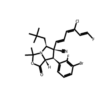 CC(C)(C)C[C@@H]1N2[C@@H](C(=O)OC2(C)C)[C@H](c2cccc(Br)c2F)[C@@]1(C#N)/C=C/C=C(Cl)\C=C\F